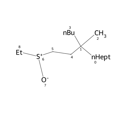 CCCCCCCC(C)(CCCC)CC[S+]([O-])CC